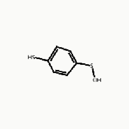 OSc1ccc(S)cc1